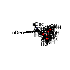 CCCCCCCCCCCCC/C=C/[C@@H](O)[C@H](CO[C@@H]1OC(CO)[C@@H](O[C@@H]2OC(CO)[C@H](O[C@@H]3OC(CO)[C@H](O)[C@H](O)C3NC(C)=O)[C@H](O[C@H]3OC(CO)[C@H](O)[C@H](O[C@@H]4OC(CO)[C@@H](O[C@@H]5OC(CO)[C@H](O)[C@H](O)C5O)[C@H](O[C@H]5OC(C)[C@@H](O)C(O)[C@@H]5O)C4NC(C)=O)C3O)C2O)[C@H](O)C1O)NC(=O)CCCCCCCCCCCCCCCCCCCCC